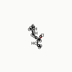 O=C(CNC(=O)COc1ccc([C@@H]2[C@@H](SCC(O)c3ccc4c(c3)OCO4)C(=O)N2c2ccc(Cl)cc2)cc1)C[C@@H](NC1CCCCC1)C(=O)O